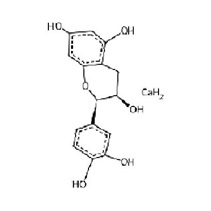 Oc1cc(O)c2c(c1)O[C@H](c1ccc(O)c(O)c1)[C@H](O)C2.[CaH2]